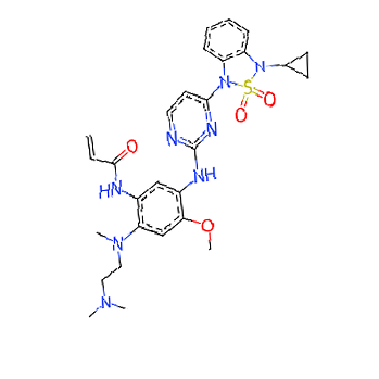 C=CC(=O)Nc1cc(Nc2nccc(N3c4ccccc4N(C4CC4)S3(=O)=O)n2)c(OC)cc1N(C)CCN(C)C